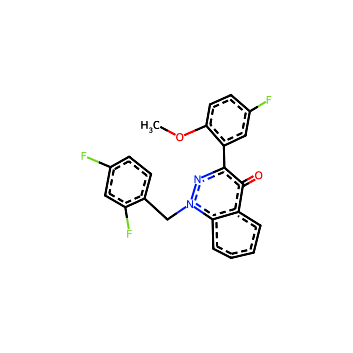 COc1ccc(F)cc1-c1nn(Cc2ccc(F)cc2F)c2ccccc2c1=O